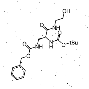 CC(C)(C)OC(=O)N[C@@H](CNC(=O)OCc1ccccc1)C(=O)NCCO